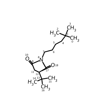 CC(C)(C)CCCCN1C(=O)CC(C(C)(C)C)C1=O